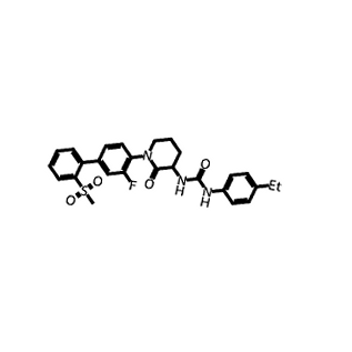 CCc1ccc(NC(=O)NC2CCCN(c3ccc(-c4ccccc4S(C)(=O)=O)cc3F)C2=O)cc1